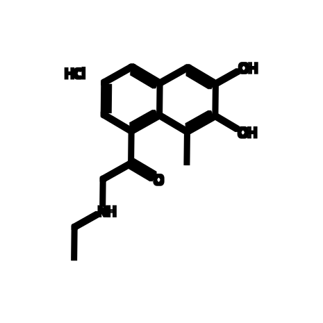 CCNCC(=O)c1cccc2cc(O)c(O)c(C)c12.Cl